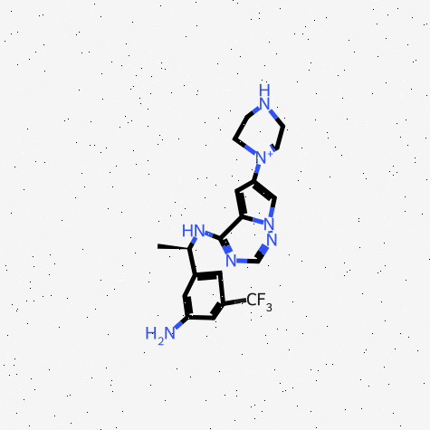 C[C@@H](Nc1ncnn2cc([N+]3=CCNCC3)cc12)c1cc(N)cc(C(F)(F)F)c1